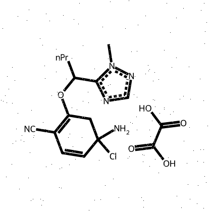 CCCC(OC1=C(C#N)C=CC(N)(Cl)C1)c1ncnn1C.O=C(O)C(=O)O